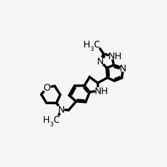 Cc1nc2c(C3Cc4ccc(CN(C)C5CCOCC5)cc4N3)ccnc2[nH]1